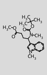 COC(=O)CCC(c1cn(C)c2ccccc12)N(C)C(=O)OC(C)(C)C